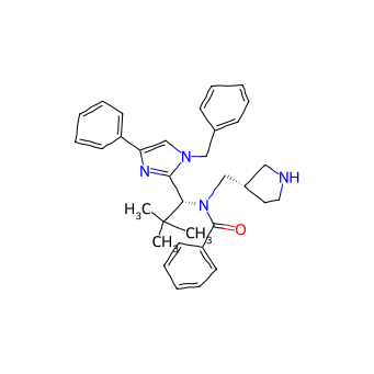 CC(C)(C)[C@H](c1nc(-c2ccccc2)cn1Cc1ccccc1)N(C[C@H]1CCNC1)C(=O)c1ccccc1